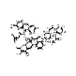 CCN(CC)C(=O)[C@@H]1C=C2c3cccc4[nH]cc(c34)C[C@H]2N(C)C1.CN(C)CCCN1c2ccccc2Sc2ccc(Cl)cc21.NC(=O)N1c2ccccc2C=Cc2ccccc21